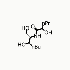 CCCC[C@@H](O)[C@H](CO)NC(=O)[C@H](O)CCC